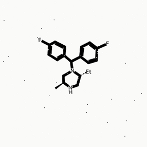 CC[C@@H]1CN[C@@H](C)CN1C(c1ccc(F)cc1)c1ccc(F)cc1